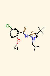 CC(C)Cn1cc(C(C)(C)C)s/c1=N\C(=S)c1cc(Cl)ccc1OC1CC1